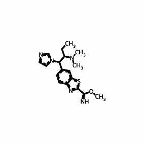 CCC(C(c1ccc2nc(C(=N)OC)sc2c1)n1ccnc1)N(C)C